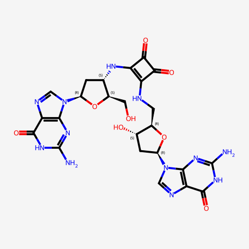 Nc1nc2c(ncn2[C@H]2C[C@H](Nc3c(NC[C@H]4O[C@@H](n5cnc6c(=O)[nH]c(N)nc65)C[C@@H]4O)c(=O)c3=O)[C@@H](CO)O2)c(=O)[nH]1